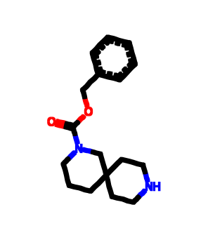 O=C(OCc1ccccc1)N1CCCC2(CCNCC2)C1